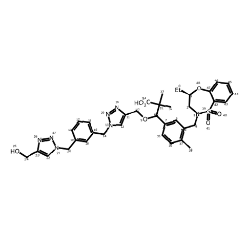 CC[C@@H]1CN(Cc2cc(C(OCc3cn(Cc4cccc(Cn5cc(CO)nn5)c4)nn3)C(C)(C)C(=O)O)ccc2C)S(=O)(=O)c2ccccc2O1